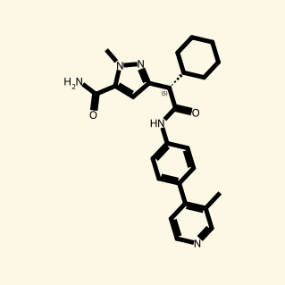 Cc1cnccc1-c1ccc(NC(=O)[C@H](c2cc(C(N)=O)n(C)n2)C2CCCCC2)cc1